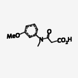 COc1cccc(N(C)C(=O)CC(=O)O)c1